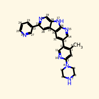 Cc1cc(N2CCNCC2)ncc1-c1cnc2[nH]c3cnc(-c4cccnc4)cc3c2c1